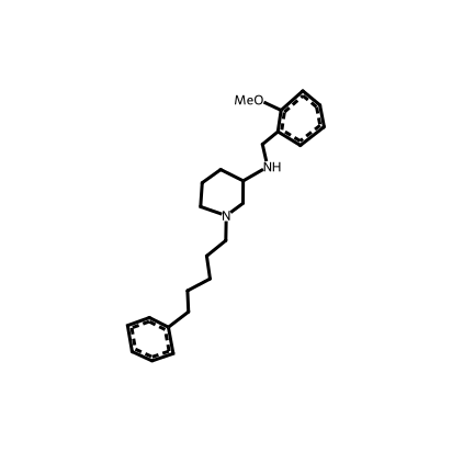 COc1ccccc1CNC1CCCN(CCCCCc2ccccc2)C1